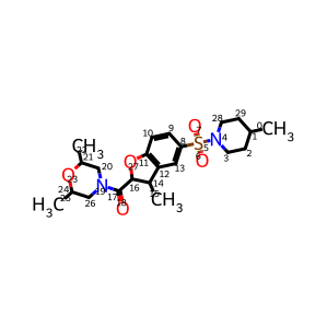 CC1CCN(S(=O)(=O)c2ccc3c(c2)C(C)C(C(=O)N2CC(C)OC(C)C2)O3)CC1